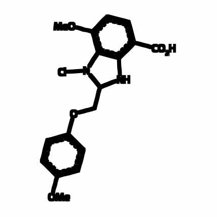 COc1ccc(OCC2Nc3c(C(=O)O)ccc(OC)c3N2Cl)cc1